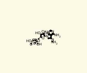 C[C@@]1(O)[C@H](O)[C@@H](COP(=O)(O)OP(=O)(O)O)O[C@H]1N1CC(=NN)c2c(N)ncnc21